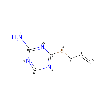 C=CCSc1ncnc(N)n1